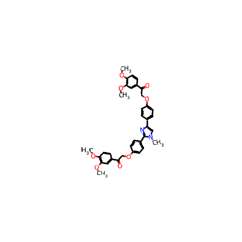 COc1ccc(C(=O)COc2ccc(-c3cn(C)c(-c4ccc(OCC(=O)c5ccc(OC)c(OC)c5)cc4)n3)cc2)cc1OC